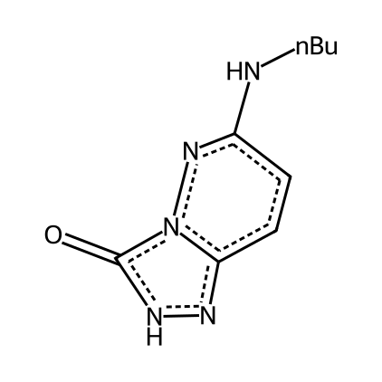 CCCCNc1ccc2n[nH]c(=O)n2n1